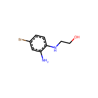 Nc1cc(Br)ccc1NCCO